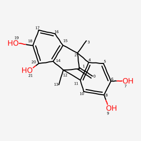 C=C1C2(C)c3cc(O)c(O)cc3C1(C)c1c2ccc(O)c1O